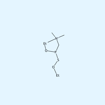 CCOSP(C[N+](C)(C)C)OCC